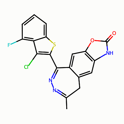 CC1=NN=C(c2sc3cccc(F)c3c2Cl)c2cc3oc(=O)[nH]c3cc2C1